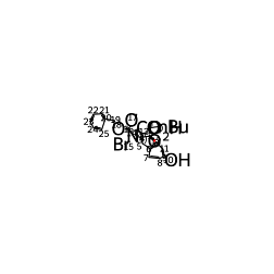 CCCCOC(=O)[C@](Cc1ccc(O)cc1)(C(=O)O)N(Br)C(=O)OCc1ccccc1